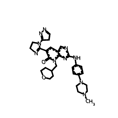 CN1CCN(c2ccc(Nc3ncc4cc(C5=NCCN5C5=NN=CC5)c(=O)n(CC5CCOCC5)c4n3)cc2)CC1